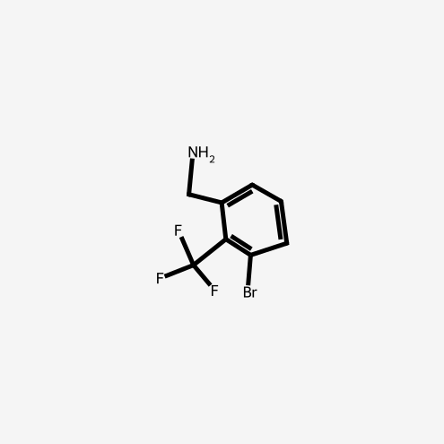 NCc1cccc(Br)c1C(F)(F)F